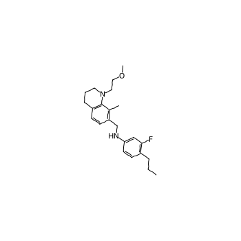 CCCc1ccc(NCc2ccc3c(c2C)N(CCOC)CCC3)cc1F